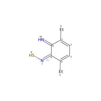 CCC1=CC=C(CC)/C(=N/S)C1=N